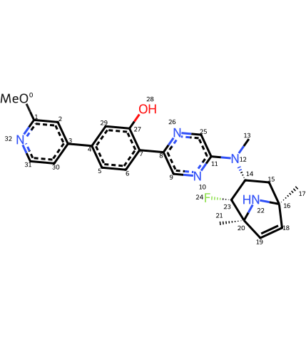 COc1cc(-c2ccc(-c3cnc(N(C)[C@@H]4C[C@@]5(C)C=C[C@](C)(N5)[C@@H]4F)cn3)c(O)c2)ccn1